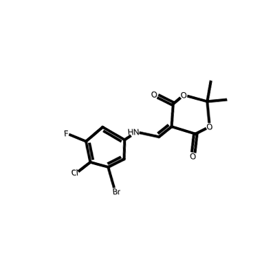 CC1(C)OC(=O)C(=CNc2cc(F)c(Cl)c(Br)c2)C(=O)O1